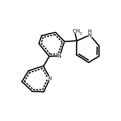 CC1(c2cccc(-c3ccccn3)n2)C=CC=CN1